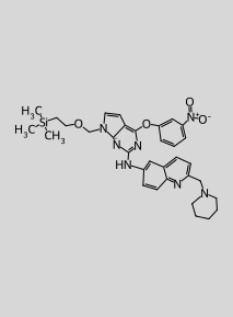 C[Si](C)(C)CCOCn1ccc2c(Oc3cccc([N+](=O)[O-])c3)nc(Nc3ccc4nc(CN5CCCCC5)ccc4c3)nc21